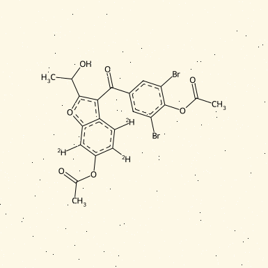 [2H]c1c(OC(C)=O)c([2H])c2oc(C(C)O)c(C(=O)c3cc(Br)c(OC(C)=O)c(Br)c3)c2c1[2H]